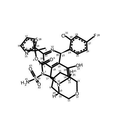 CC(C)(C)OC(=O)N(C1C[C@H]2COC[C@@H](C1)N2CC1=C(C(=O)O)[C@H](c2ccc(F)cc2Cl)N=C(c2nccs2)N1)S(N)(=O)=O